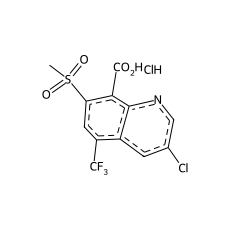 CS(=O)(=O)c1cc(C(F)(F)F)c2cc(Cl)cnc2c1C(=O)O.Cl